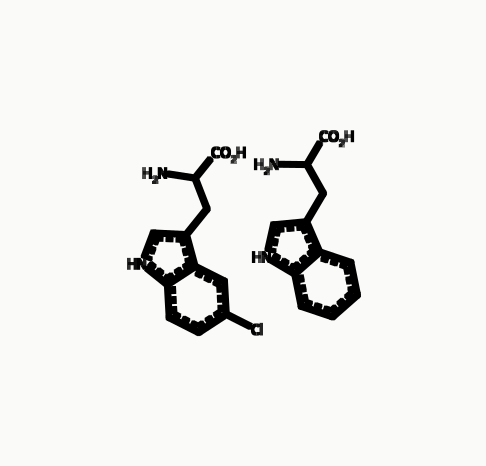 NC(Cc1c[nH]c2ccc(Cl)cc12)C(=O)O.NC(Cc1c[nH]c2ccccc12)C(=O)O